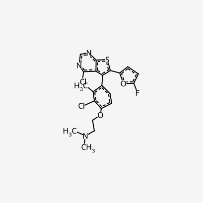 Cc1c(-c2c(-c3ccc(F)o3)sc3ncnc(Cl)c23)ccc(OCCN(C)C)c1Cl